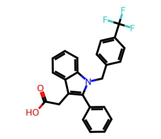 O=C(O)Cc1c(-c2ccccc2)n(Cc2ccc(C(F)(F)F)cc2)c2ccccc12